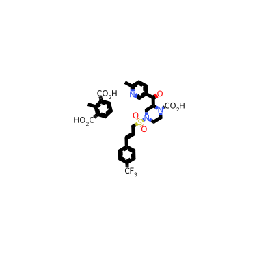 Cc1c(C(=O)O)cccc1C(=O)O.Cc1ccc(C(=O)C2CN(S(=O)(=O)CC=Cc3ccc(C(F)(F)F)cc3)CCN2C(=O)O)cn1